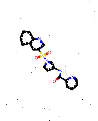 O=C(Nc1ccn(S(=O)(=O)c2cnc3ccccc3c2)c1)c1ccccn1